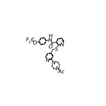 CC(=O)N1CCN(c2cc(CSc3ncccc3C(=O)Nc3ccc(OC(F)(F)F)cc3)ccn2)CC1